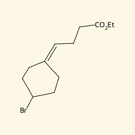 CCOC(=O)CCC=C1CCC(Br)CC1